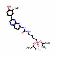 COc1cc(-c2cnc3ccc(NC(=O)NCCCCP(=O)(OC(C)OC(C)=O)OC(C)OC(C)=O)nc3n2)ccc1O